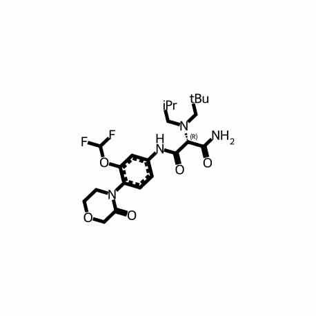 CC(C)CN(CC(C)(C)C)[C@H](C(N)=O)C(=O)Nc1ccc(N2CCOCC2=O)c(OC(F)F)c1